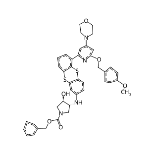 COc1ccc(COc2cc(N3CCOCC3)cc(-c3cccc4c3Sc3ccc(N[C@@H]5CN(C(=O)OCc6ccccc6)C[C@H]5O)cc3S4)n2)cc1